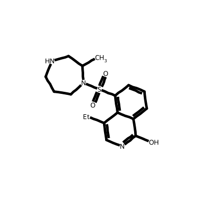 CCc1cnc(O)c2cccc(S(=O)(=O)N3CCCNCC3C)c12